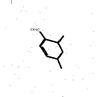 CC1C=CC(C=O)C(C)C1